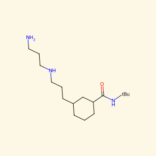 CC(C)(C)NC(=O)C1CCCC(CCCNCCCN)C1